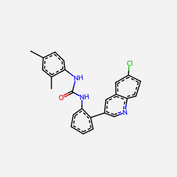 Cc1ccc(NC(=O)Nc2ccccc2-c2cnc3ccc(Cl)cc3c2)c(C)c1